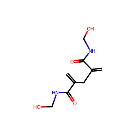 C=C(CC(=C)C(=O)NCO)C(=O)NCO